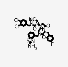 N#CCN(C(=O)NCc1ccc(Cl)c(Cl)c1)N1CC(=O)N2C1CN(Cc1cccc3sc(N)nc13)C(=O)[C@@H]2Cc1ccc(F)cc1